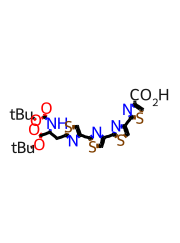 CC(C)(C)OC(=O)NC(Cc1nc(-c2nc(-c3nc(-c4nc(C(=O)O)cs4)cs3)cs2)cs1)C(=O)OC(C)(C)C